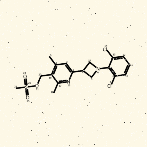 Cc1cc(C2CN(c3c(Cl)cccc3Cl)C2)nc(C)c1COS(C)(=O)=O